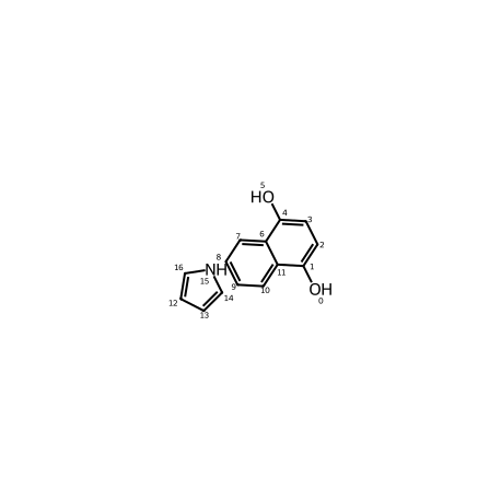 Oc1ccc(O)c2ccccc12.c1cc[nH]c1